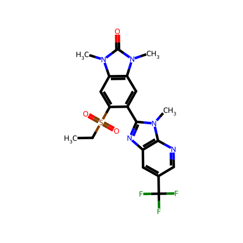 CCS(=O)(=O)c1cc2c(cc1-c1nc3cc(C(F)(F)F)cnc3n1C)n(C)c(=O)n2C